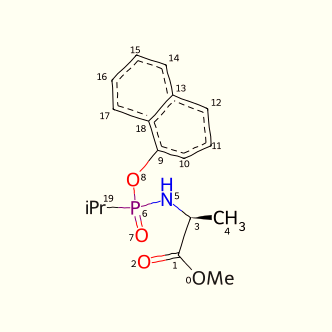 COC(=O)[C@H](C)NP(=O)(Oc1cccc2ccccc12)C(C)C